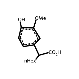 CCCCCCC(C(=O)O)c1ccc(O)c(OC)c1